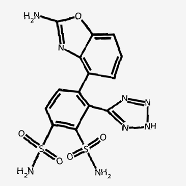 Nc1nc2c(-c3ccc(S(N)(=O)=O)c(S(N)(=O)=O)c3-c3nn[nH]n3)cccc2o1